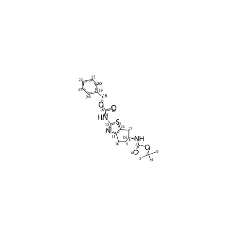 CC(C)(C)OC(=O)N[C@H]1CCc2nc(NC(=O)OCc3ccccc3)sc2C1